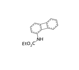 CCOC(=O)Nc1cccc2c1-c1ccccc1-2